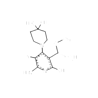 Cc1nc(N)c(Br)c(N2CCC(C)(C)CC2)c1[C@H](OC(C)(C)C)C(=O)O